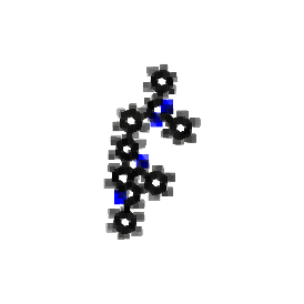 c1ccc(-c2cc(-c3cccc(-c4ccc5c(c4)nc(-c4ccccc4)c4c6ccc(-c7ccccc7)nc6ccc54)c3)nc(-c3ccccc3)n2)cc1